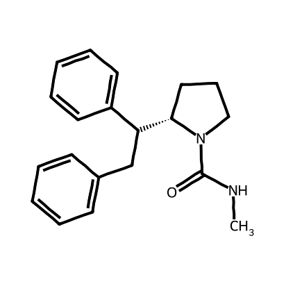 CNC(=O)N1CCC[C@H]1C(Cc1ccccc1)c1ccccc1